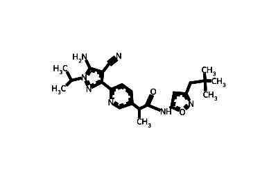 CC(C(=O)Nc1cc(CC(C)(C)C)no1)c1ccc(-c2nn(C(C)C)c(N)c2C#N)nc1